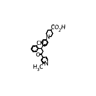 Cc1cc(C(=O)CC(c2ccc(N3CCC(C(=O)O)CC3)cc2)c2ccccc2C)ccn1